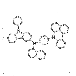 c1ccc(-n2c3ccccc3c3cc(N(c4ccc(N5c6ccccc6-c6cccc7cccc5c67)cc4)c4cccc5ccccc45)ccc32)cc1